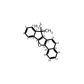 CC1(C)c2ccccc2-c2oc3c(ccc4ccccc43)c21